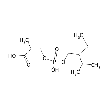 CCC(COP(=O)(O)OCC(C)C(=O)O)C(C)C